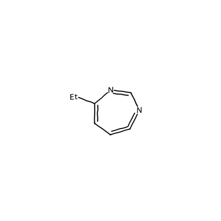 CCC1=CC=C=NC=N1